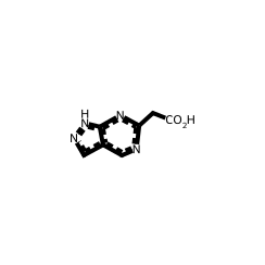 O=C(O)Cc1ncc2cn[nH]c2n1